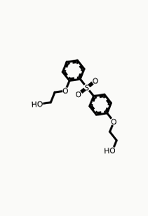 O=S(=O)(c1ccc(OCCO)cc1)c1ccccc1OCCO